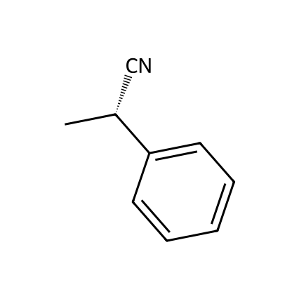 C[C@H](C#N)c1ccccc1